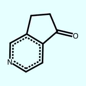 O=C1CCc2cnccc21